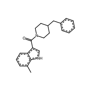 Cc1cccc2c(C(=O)N3CCC(Cc4ccccc4)CC3)c[nH]c12